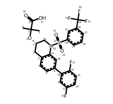 CC(C)(O[C@H]1Cc2ccc(-c3cc(F)ccc3F)cc2N(S(=O)(=O)c2cccc(C(F)(F)F)c2)C1)C(=O)O